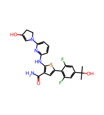 CC(C)(O)c1cc(F)c(-c2cc(C(N)=O)c(Nc3cccc(N4C=C(O)CC4)n3)s2)c(F)c1